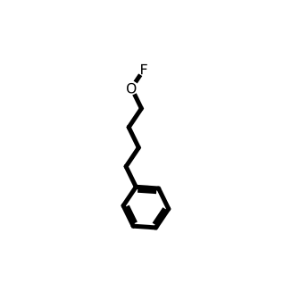 FOCCCCc1ccccc1